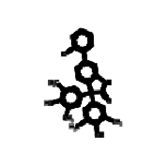 Cc1cc(C2(c3cc(C)c(O)c(C)c3)C(=O)Nc3cc(-c4ccccc4Cl)ccc32)cc(C)c1O